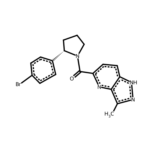 Cc1n[nH]c2ccc(C(=O)N3CCC[C@H]3c3ccc(Br)cc3)nc12